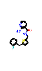 Nc1ncccc1C(=O)NCc1ccc(Cc2ccccc2F)s1